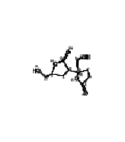 O=C1CC[C@@](CO)(C2CC(CO)OC2=O)O1